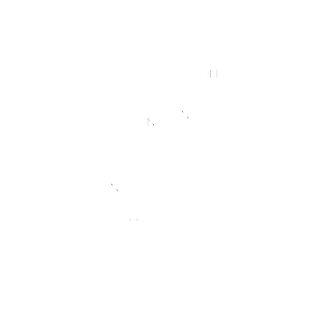 OCc1cn(Cc2cnc(OC(F)F)c(-c3cccc(Cl)c3)c2)cn1